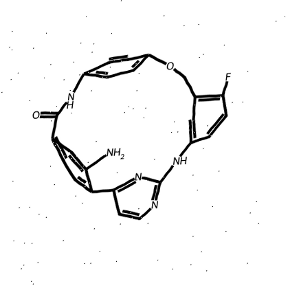 Nc1cc2ccc1-c1ccnc(n1)Nc1ccc(F)c(c1)COc1ccc(cc1)NC2=O